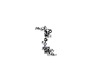 C=N/C=C(\NC1CCCN1C(=O)[C@@H](NC(=O)OC)C(C)C)c1ccc(-c2ccc(-c3cnc([C@@H]4Cc5cccc6c5N4C(=O)[C@@H](NC(=O)OC)CC6)[nH]3)cc2)c(F)c1